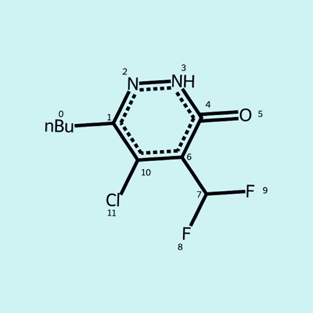 CCCCc1n[nH]c(=O)c(C(F)F)c1Cl